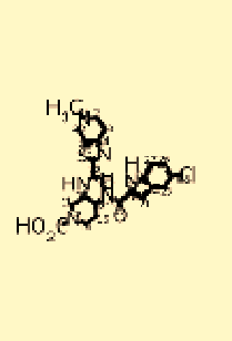 CN1CCc2nc(C(=O)NC3CN(C(=O)O)CCC3NC(=O)c3cc4cc(Cl)ccc4[nH]3)sc2C1